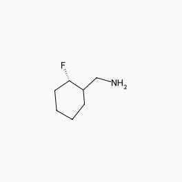 NCC1CCCC[C@@H]1F